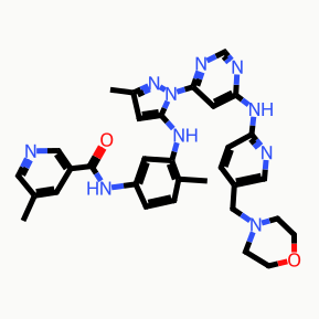 Cc1cncc(C(=O)Nc2ccc(C)c(Nc3cc(C)nn3-c3cc(Nc4ccc(CN5CCOCC5)cn4)ncn3)c2)c1